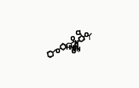 CC(C)Oc1ccc(NC(=O)C(Cc2ccc(OCc3ccccc3)cc2)NS(=O)(=O)N(C)C)cc1Cl